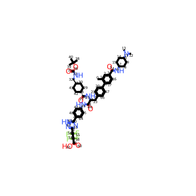 Cc1cc(C(=O)NC2CCC(N(C)C)CC2)ccc1-c1ccc(CC(NC(=O)[C@H]2CC[C@H](CNC(=O)OC(C)(C)C)CC2)C(=O)Nc2ccc(-c3nc(C(F)(F)C(F)(F)C(=O)O)n[nH]3)cc2)cc1